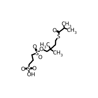 CC(C)C(=O)SCCC(C)(C)COS(=O)(=O)CCCS(=O)(=O)O